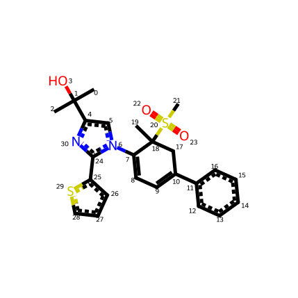 CC(C)(O)c1cn(C2=CC=C(c3ccccc3)CC2(C)S(C)(=O)=O)c(-c2cccs2)n1